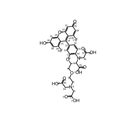 O=C(O)CN(CCOCCOc1cc(-c2c3c(F)cc(=O)cc-3oc3cc(O)cc(F)c23)ccc1N(CC(=O)O)CC(=O)O)CC(=O)O